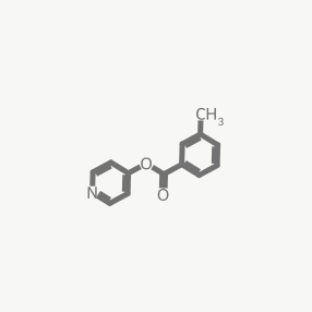 Cc1cccc(C(=O)Oc2ccncc2)c1